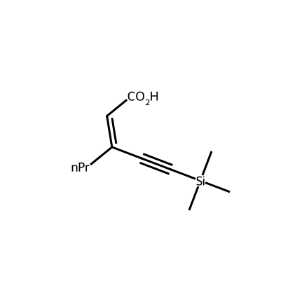 CCCC(C#C[Si](C)(C)C)=CC(=O)O